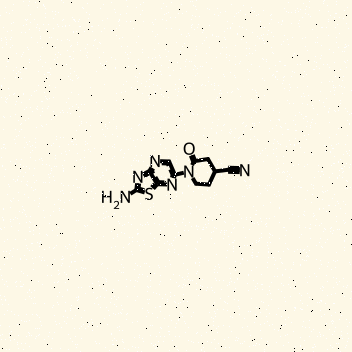 N#CC1CCN(c2cnc3nc(N)sc3n2)C(=O)C1